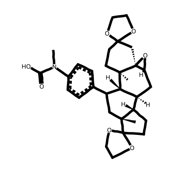 CN(C(=O)O)c1ccc(C2C[C@]3(C)[C@@H](CCC34OCCO4)[C@@H]3C[C@@H]4O[C@@]45CC4(CC[C@]5(C)[C@@H]23)OCCO4)cc1